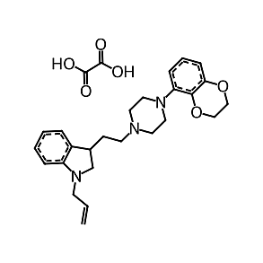 C=CCN1CC(CCN2CCN(c3cccc4c3OCCO4)CC2)c2ccccc21.O=C(O)C(=O)O